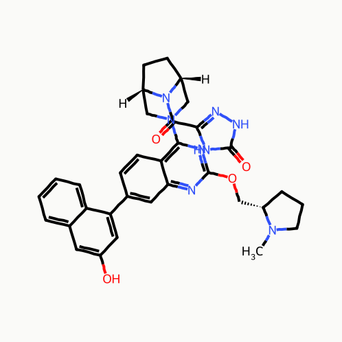 CN1CCC[C@H]1COc1nc(N2C[C@H]3CC[C@@H](C2)N3C(=O)c2n[nH]c(=O)[nH]2)c2ccc(-c3cc(O)cc4ccccc34)cc2n1